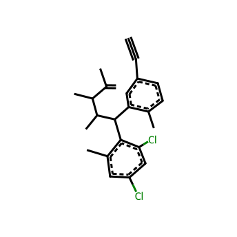 C#Cc1ccc(C)c(C(c2c(C)cc(Cl)cc2Cl)C(C)C(C)C(=C)C)c1